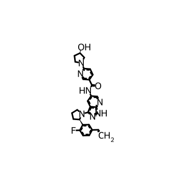 C=Cc1ccc(F)c([C@H]2CCCN2c2n[nH]c3ncc(NC(=O)c4ccc(N5CC[C@H](O)C5)nc4)cc23)c1